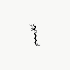 C=CC(=O)OCCCCCC(C)CC